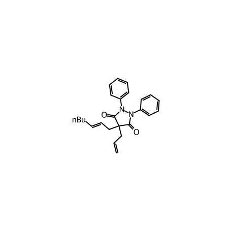 C=CCC1(C/C=C/CCCC)C(=O)N(c2ccccc2)N(c2ccccc2)C1=O